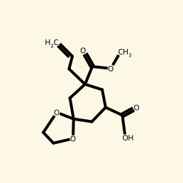 C=CCC1(C(=O)OC)CC(C(=O)O)CC2(C1)OCCO2